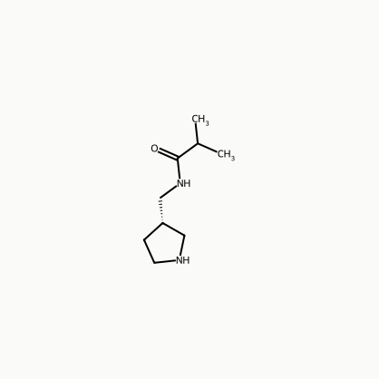 CC(C)C(=O)NC[C@H]1CCNC1